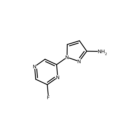 Nc1ccn(-c2cncc(F)n2)n1